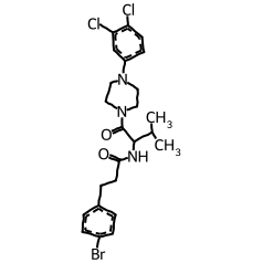 CC(C)C(NC(=O)CCc1ccc(Br)cc1)C(=O)N1CCN(c2ccc(Cl)c(Cl)c2)CC1